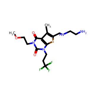 COCCn1c(=O)c2c(C)c(CNCCN)sc2n(CCC(F)(F)F)c1=O